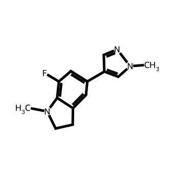 CN1CCc2cc(-c3cnn(C)c3)cc(F)c21